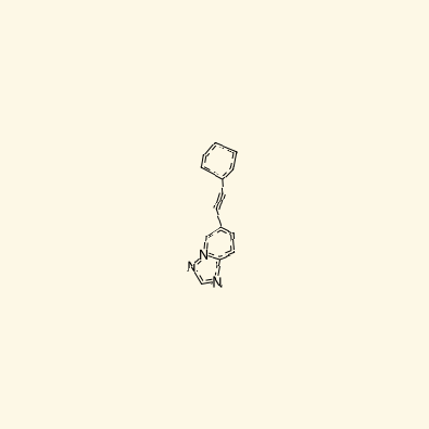 C(#Cc1ccc2ncnn2c1)c1ccccc1